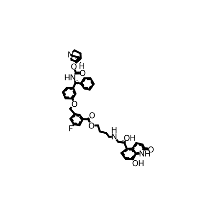 O=C(N[C@@H](c1ccccc1)c1cccc(OCc2cc(F)cc(C(=O)OCCCCNC[C@H](O)c3ccc(O)c4[nH]c(=O)ccc34)c2)c1)O[C@H]1CN2CCC1CC2